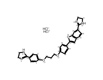 Cl.Cl.c1cc(C2=NCCN2)ccc1OCCCOc1ccc(-c2cc3ccc(C4=NCCN4)cc3o2)cc1